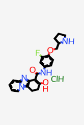 Cl.O=C(Nc1ccc(OCC2CCCN2)c(F)c1)C1=C(O)CCc2c1nc1ccccn21